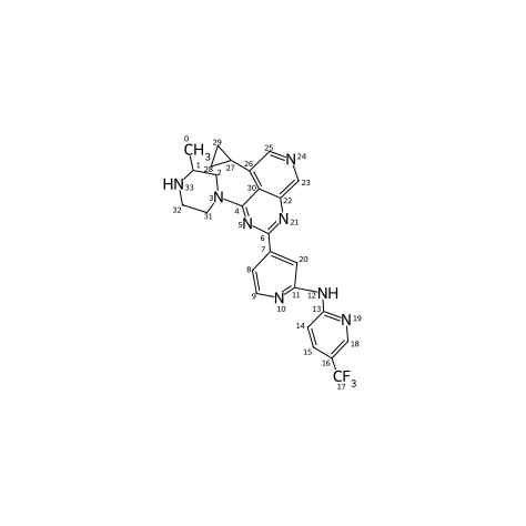 CC1CN(c2nc(-c3ccnc(Nc4ccc(C(F)(F)F)cn4)c3)nc3cncc(C4CC4)c23)CCN1